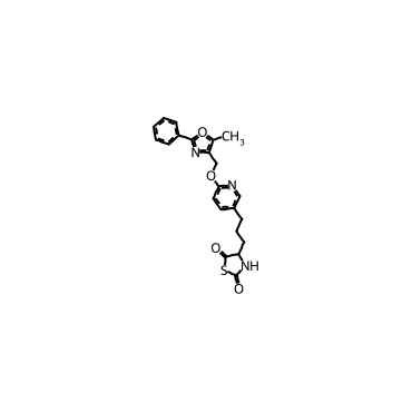 Cc1oc(-c2ccccc2)nc1COc1ccc(CCCC2NC(=O)SC2=O)cn1